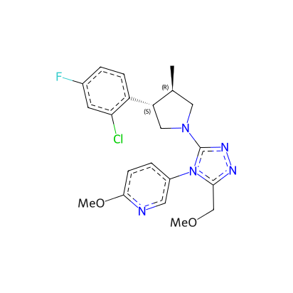 COCc1nnc(N2C[C@H](c3ccc(F)cc3Cl)[C@@H](C)C2)n1-c1ccc(OC)nc1